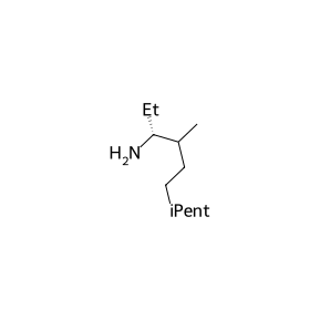 CCCC(C)CCC(C)[C@H](N)CC